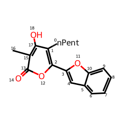 CCCCCc1c(-c2cc3ccccc3o2)oc(=O)c(C)c1O